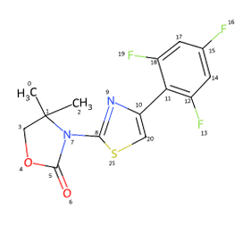 CC1(C)COC(=O)N1c1nc(-c2c(F)cc(F)cc2F)cs1